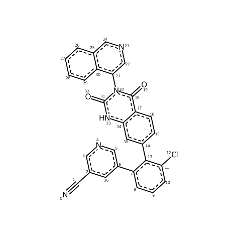 N#Cc1cncc(-c2cccc(Cl)c2-c2ccc3c(=O)n(-c4cncc5ccccc45)c(=O)[nH]c3c2)c1